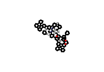 C=c1oc2ccc(-c3ccc4c(c3)c3ccc5c(c3n4-c3ccccc3)-c3ccccc3C53c4ccccc4-c4ccccc43)cc2/c1=C(/C=C\C)c1nc(-c2cccc(-c3cc(-c4ccccc4)cc(-c4ccccc4)c3)c2)nc(-c2cccc3oc4ccc(-c5ccc6c(c5)c5ccc7c(c5n6-c5ccccc5)-c5ccccc5C75c6ccccc6-c6ccccc65)cc4c23)n1